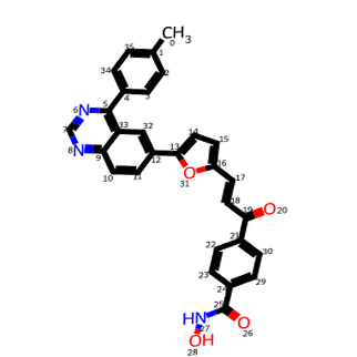 Cc1ccc(-c2ncnc3ccc(-c4ccc(C=CC(=O)c5ccc(C(=O)NO)cc5)o4)cc23)cc1